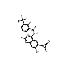 Cc1nc(N[C@H](C)c2cccc(C(F)(F)F)c2C)c2cc(C3C(=O)C3C)c(Br)cc2n1